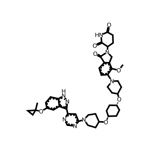 COc1c(N2CCC(O[C@H]3CC[C@H](OC4CCN(c5cc(-c6n[nH]c7ccc(OC8(C)CC8)cc67)ncn5)CC4)CC3)CC2)ccc2c1CN(C1CCC(=O)NC1=O)C2=O